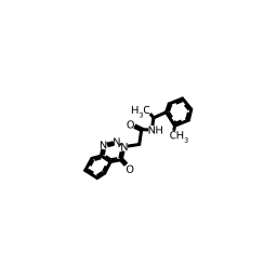 Cc1ccccc1C(C)NC(=O)Cn1nnc2ccccc2c1=O